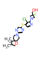 C[C@@H]1COC2(CCN(c3cnc(Sc4ccnc(N5CC(F)(CO)C5)c4Cl)cn3)CC2)[C@@H]1C